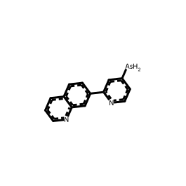 [AsH2]c1ccnc(-c2ccc3cccnc3c2)c1